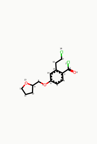 O=C(Cl)c1ccc(OCC2CCCO2)cc1CCCl